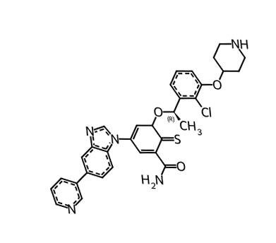 C[C@@H](OC1C=C(n2cnc3cc(-c4cccnc4)ccc32)C=C(C(N)=O)C1=S)c1cccc(OC2CCNCC2)c1Cl